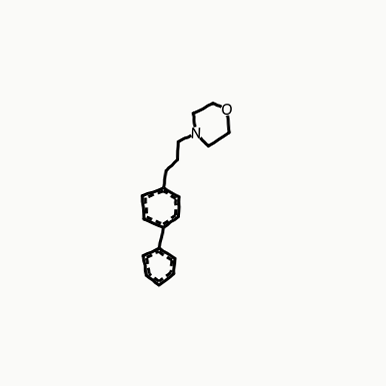 c1ccc(-c2ccc(CCCN3CCOCC3)cc2)cc1